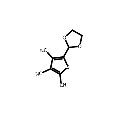 N#Cc1sc(C2OCCO2)c(C#N)c1C#N